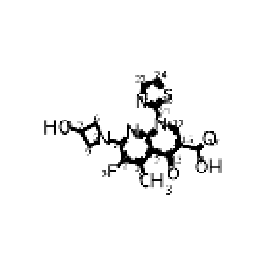 Cc1c(F)c(N2CC(O)C2)nc2c1c(=O)c(C(=O)O)cn2-c1nccs1